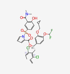 C=C/C(Cl)=C(C[C@H](OC(=O)c1cccn1S(=O)(=O)c1ccc(O)c(C(=O)N(C)C)c1)c1ccc(OC(F)F)c(OCC2CC2)c1)\C(Cl)=C/C